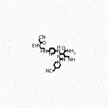 CCN(CCNc1ccc(Nc2nc(N3CCC(CC#N)CC3)nc(C=N)c2C(N)=O)cn1)C(=O)CC#N